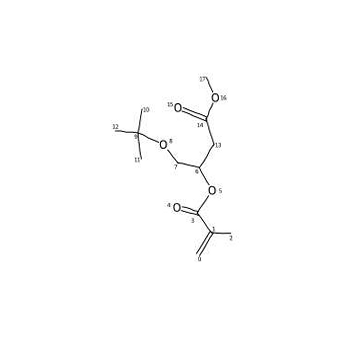 C=C(C)C(=O)OC(COC(C)(C)C)CC(=O)OC